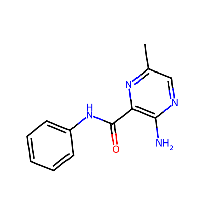 Cc1cnc(N)c(C(=O)Nc2ccccc2)n1